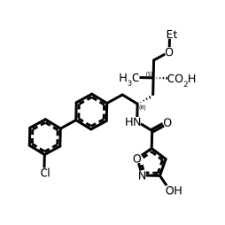 CCOC[C@](C)(C[C@@H](Cc1ccc(-c2cccc(Cl)c2)cc1)NC(=O)c1cc(O)no1)C(=O)O